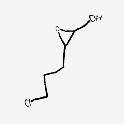 OC1OC1CCCCl